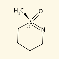 C[S@@]1(=O)=NCCCC1